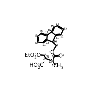 CCOC(=O)C[C@@H](C(=O)O)N(C)C(=O)OCC1c2ccccc2-c2ccccc21